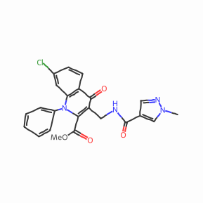 COC(=O)c1c(CNC(=O)c2cnn(C)c2)c(=O)c2ccc(Cl)cc2n1-c1ccccc1